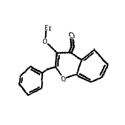 CCOc1c(-c2ccccc2)oc2ccccc2c1=O